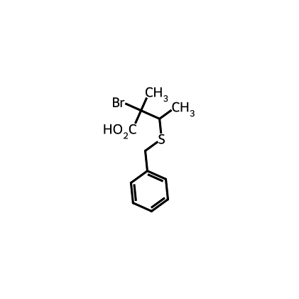 CC(SCc1ccccc1)C(C)(Br)C(=O)O